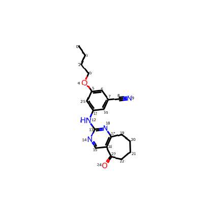 CCCCOc1cc(C#N)cc(Nc2ncc3c(n2)CCCCC3=O)c1